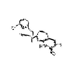 CCc1cc2ccc(C(C)(C#N)Cc3cccc(Cl)c3)cc2[nH]c1=O